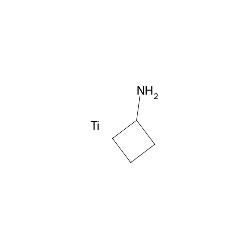 NC1CCC1.[Ti]